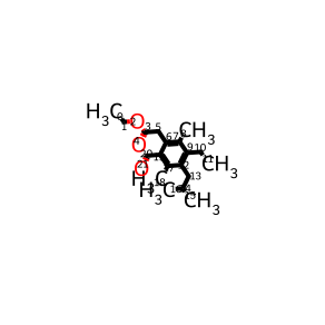 CCOC(=O)Cc1c(C)c(CC)c(CC(C)C)c(C)c1C=O